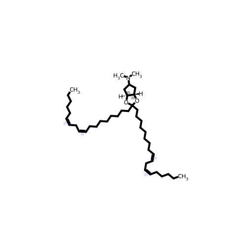 CCCCC/C=C\C/C=C\CCCCCCCCC1(CCCCCCCC/C=C\C/C=C\CCCCC)O[C@H]2CC(N(C)C)C[C@@H]2O1